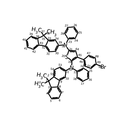 CC1(C)c2ccccc2-c2cc(N(c3ccccc3)c3sc(N(c4ccccc4)c4ccc5c(c4)C(C)(C)c4ccccc4-5)cc3-c3ccc(Br)cc3)ccc21